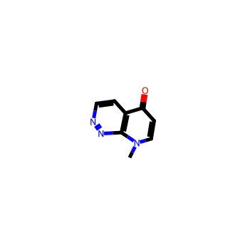 Cn1ccc(=O)c2ccnnc21